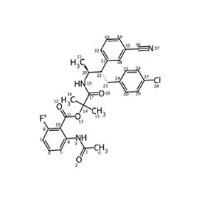 CC(=O)Nc1cccc(F)c1C(=O)OC(C)(C)C(=O)N[C@@H](C)[C@@H](Cc1ccc(Cl)cc1)c1cccc(C#N)c1